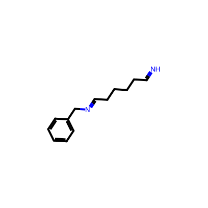 N=CCCCCC=NCc1ccccc1